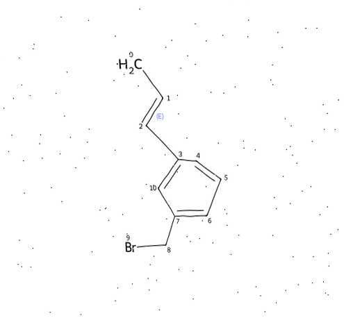 [CH2]/C=C/c1cccc(CBr)c1